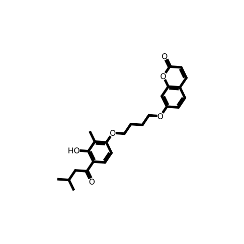 Cc1c(OCCCCOc2ccc3ccc(=O)oc3c2)ccc(C(=O)CC(C)C)c1O